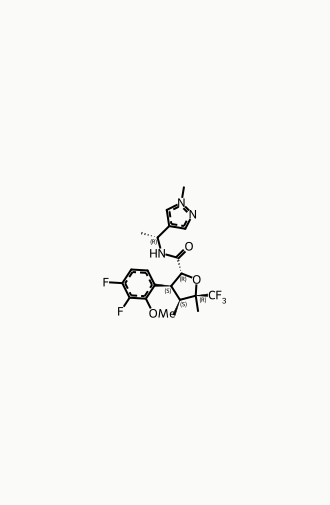 COc1c([C@H]2[C@H](C(=O)N[C@H](C)c3cnn(C)c3)O[C@@](C)(C(F)(F)F)[C@H]2C)ccc(F)c1F